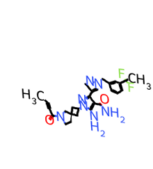 CC#CC(=O)N1CC[C@]2(C1)C[C@H](n1nc(-c3cnn(Cc4cccc(C(C)(F)F)c4)c3)c(C(N)=O)c1N)C2